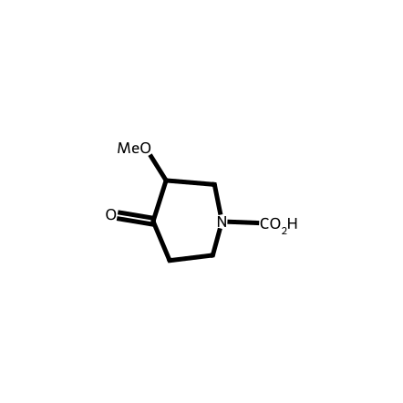 COC1CN(C(=O)O)CCC1=O